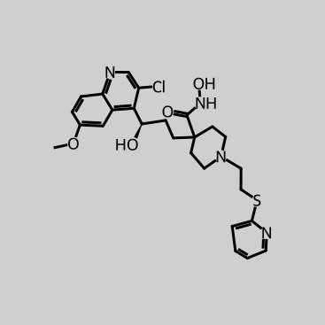 COc1ccc2ncc(Cl)c([C@H](O)CCC3(C(=O)NO)CCN(CCSc4ccccn4)CC3)c2c1